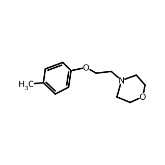 Cc1ccc(OCCN2CCOCC2)cc1